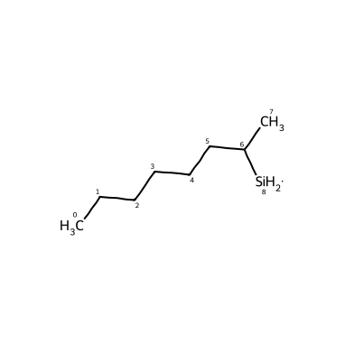 CCCCCCC(C)[SiH2]